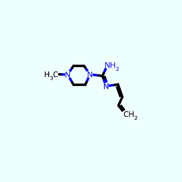 C=C/C=C\N=C(/N)N1CCN(C)CC1